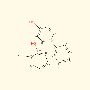 Oc1ccc(-c2ccccc2)cc1.Oc1ccccc1I